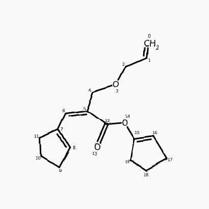 C=CCOCC(=CC1=CCCC1)C(=O)OC1=CCCC1